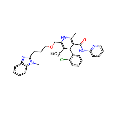 CCOC(=O)C1=C(COCCCc2nc3ccccc3n2C)NC(C)=C(C(=O)Nc2ccccn2)C1c1ccccc1Cl